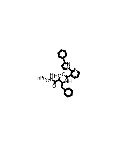 CCCONC(=O)C(O)C(Cc1ccccc1)NC(=O)c1cccnc1-n1ccc(-c2ccccc2)n1